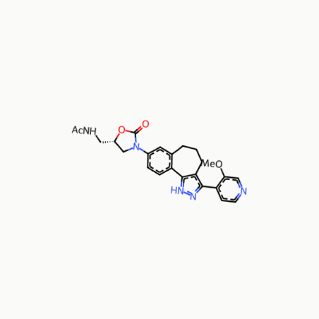 COc1cnccc1-c1n[nH]c2c1CCCc1cc(N3C[C@H](CNC(C)=O)OC3=O)ccc1-2